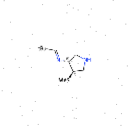 CS[C@@H]1CNC[C@H]1N=CC(C)(C)C